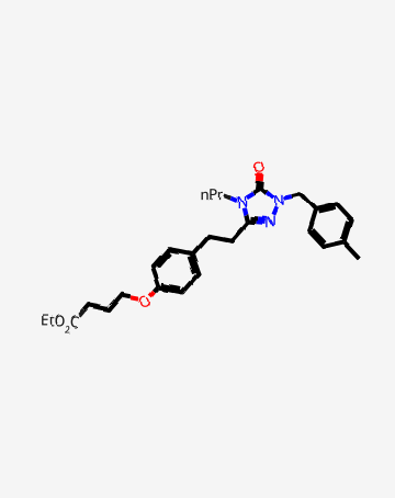 CCCn1c(CCc2ccc(OCCCC(=O)OCC)cc2)nn(Cc2ccc(C)cc2)c1=O